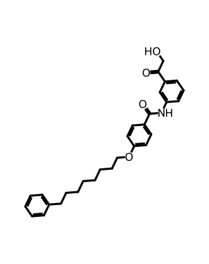 O=C(CO)c1cccc(NC(=O)c2ccc(OCCCCCCCCc3ccccc3)cc2)c1